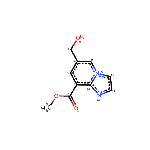 COC(=O)c1cc(CO)cn2ccnc12